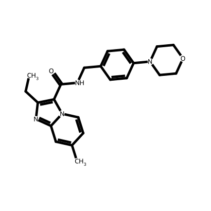 CCc1nc2cc(C)ccn2c1C(=O)NCc1ccc(N2CCOCC2)cc1